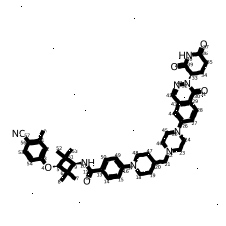 Cc1cc(O[C@H]2C(C)(C)[C@H](NC(=O)c3ccc(N4CCC(CN5CCN(c6ccc7c(=O)n([C@H]8CCC(=O)NC8=O)ncc7c6)CC5)CC4)cc3)C2(C)C)ccc1C#N